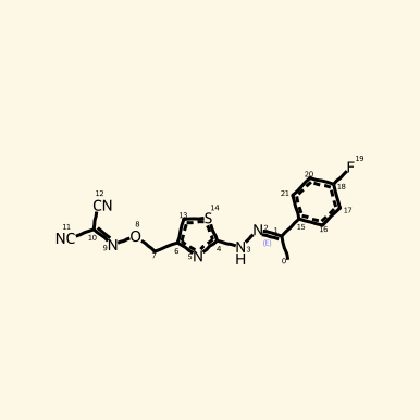 C/C(=N\Nc1nc(CON=C(C#N)C#N)cs1)c1ccc(F)cc1